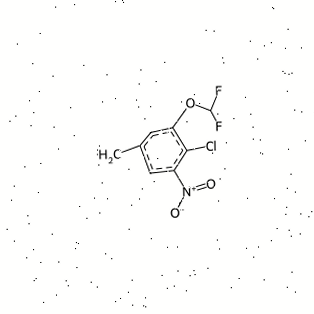 [CH2]c1cc(OC(F)F)c(Cl)c([N+](=O)[O-])c1